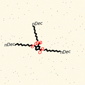 CCCCCCCCCCCCCCCCCCCCOC(=O)c1ccc(C(=O)OCCCCCCCCCCCCCCCCCCCC)c(C(=O)OCCCCCCCCCCCCCCCCCCCC)c1